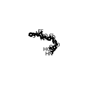 Cn1c(-c2cn(-c3cc4ccccc4s3)nc2C(F)(F)F)cnc1C(=O)Nc1ccc(C(=O)N2CCN(C(=O)C3CC[N+](CC(=O)O)(CC4CNC4)CC3)CC2)c(Cl)c1